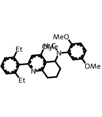 CCc1cccc(CC)c1-c1cc(OC)c2c(n1)CCCC2N(C)c1cc(OC)ccc1OC